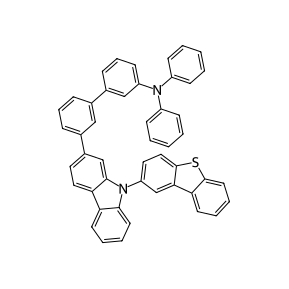 c1ccc(N(c2ccccc2)c2cccc(-c3cccc(-c4ccc5c6ccccc6n(-c6ccc7sc8ccccc8c7c6)c5c4)c3)c2)cc1